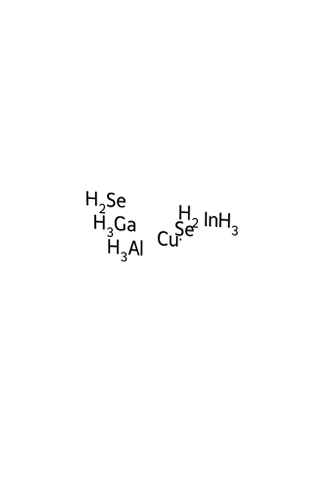 [AlH3].[Cu].[GaH3].[InH3].[SeH2].[SeH2]